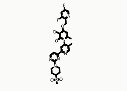 Cc1cnc(-c2ccnc(N3CCC(S(C)(=O)=O)CC3)n2)cc1-n1c(C)cc(OCc2ncc(F)cc2F)c(Cl)c1=O